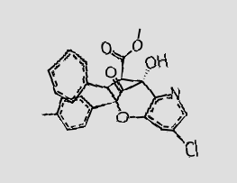 COC(=O)[C@@H]1C(c2ccccc2)[C@@]2(c3ccc(C)cc3)Oc3cc(Cl)cnc3[C@@]1(O)C2=O